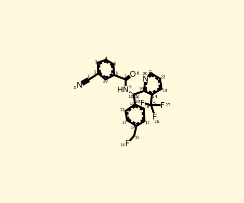 N#Cc1cccc(C(=O)N[C@@H](c2ccc(CF)cc2)c2ncccc2C(F)(F)F)c1